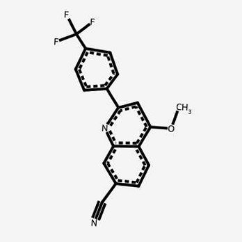 COc1cc(-c2ccc(C(F)(F)F)cc2)nc2cc(C#N)ccc12